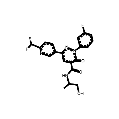 CC(CO)NC(=O)c1cc(-c2ccc(C(F)F)nc2)nn(-c2cccc(F)c2)c1=O